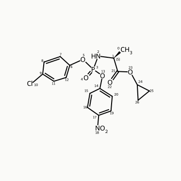 C[C@H](NP(=O)(Oc1ccc(Cl)cc1)Oc1ccc([N+](=O)[O-])cc1)C(=O)OC1CC1